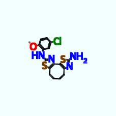 COc1ccc(Cl)cc1Nc1nc2c(s1)CCCCc1nc(N)sc1-2